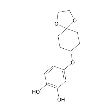 Oc1ccc(OC2CCC3(CC2)OCCO3)cc1O